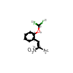 CC(=O)C(=Cc1ccccc1OC(F)F)[N+](=O)[O-]